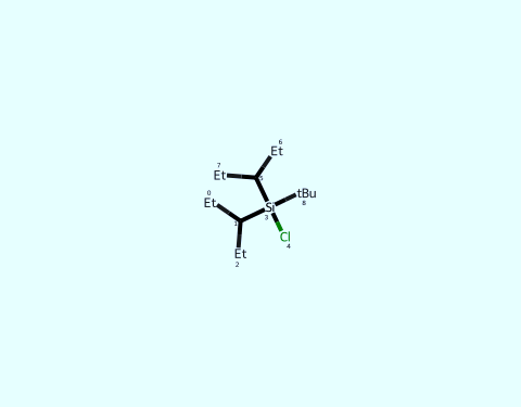 CCC(CC)[Si](Cl)(C(CC)CC)C(C)(C)C